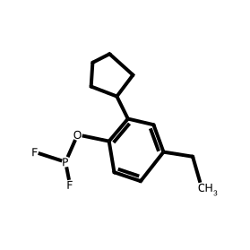 CCc1ccc(OP(F)F)c(C2CCCC2)c1